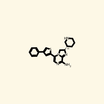 NC1=NC=C(c2cc(-c3ccccc3)cs2)N2CC([C@H]3CCCNC3)N=C12